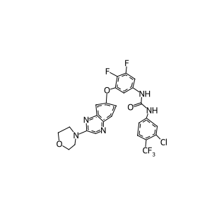 O=C(Nc1ccc(C(F)(F)F)c(Cl)c1)Nc1cc(F)c(F)c(Oc2ccc3ncc(N4CCOCC4)nc3c2)c1